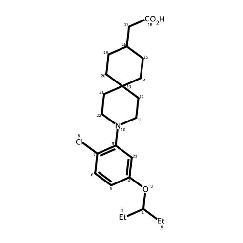 CCC(CC)Oc1ccc(Cl)c(N2CCC3(CCC(CC(=O)O)CC3)CC2)c1